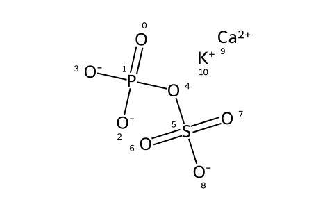 O=P([O-])([O-])OS(=O)(=O)[O-].[Ca+2].[K+]